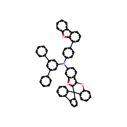 c1ccc(-c2cc(-c3ccccc3)cc(N(c3ccc(-c4cccc5c4oc4ccccc45)cc3)c3ccc4c5c(oc4c3)C3(c4ccccc4O5)c4ccccc4-c4ccccc43)c2)cc1